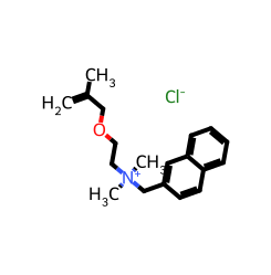 C=C(C)COCC[N+](C)(C)Cc1ccc2ccccc2c1.[Cl-]